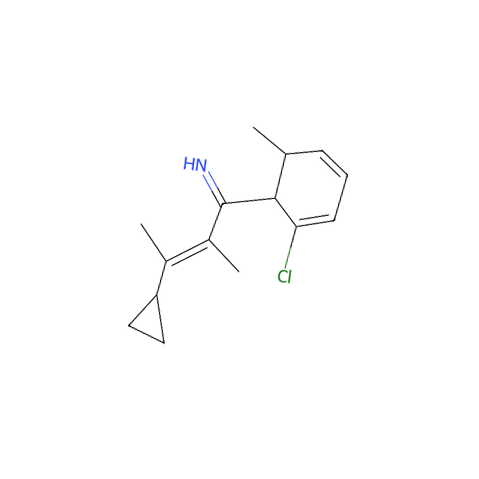 C/C(C(=N)C1C(Cl)=CC=CC1C)=C(/C)C1CC1